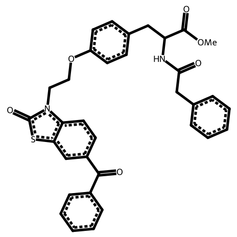 COC(=O)C(Cc1ccc(OCCn2c(=O)sc3cc(C(=O)c4ccccc4)ccc32)cc1)NC(=O)Cc1ccccc1